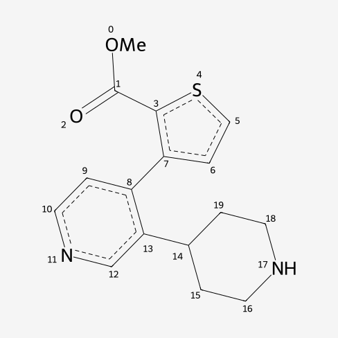 COC(=O)c1sccc1-c1ccncc1C1CCNCC1